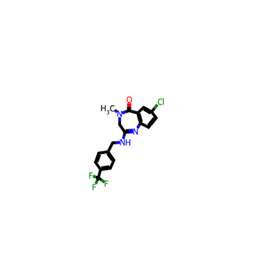 CN1CC(NCc2ccc(C(F)(F)F)cc2)=Nc2ccc(Cl)cc2C1=O